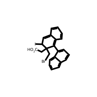 O=C(O)CC1(CBr)C(c2cccc3ccccc23)=c2ccccc2=CC1I